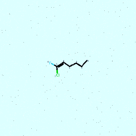 CCCCC=C(F)Cl